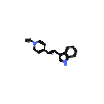 CN1C=CC(/C=C/c2c[nH]c3ccccc23)=CC1